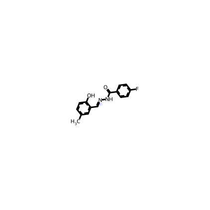 Cc1ccc(O)c(/C=N/NC(=O)c2ccc(F)cc2)c1